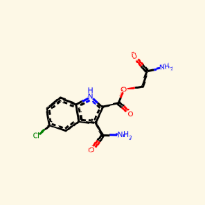 NC(=O)COC(=O)c1[nH]c2ccc(Cl)cc2c1C(N)=O